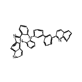 c1cc(-c2cccc(N3c4ccccc4-c4nc5ccc6ncccc6c5n4-c4ccccc43)c2)cc(-c2ccc3ccccc3n2)c1